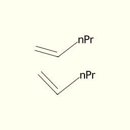 C=CCCC.C=CCCC